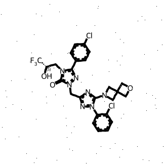 O=c1n(Cc2nc(N3CC4(COC4)C3)n(-c3ccccc3Cl)n2)nc(-c2ccc(Cl)cc2)n1C[C@H](O)C(F)(F)F